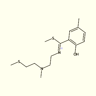 CSCCN(C)CC/N=C(\SC)c1cc(C)ccc1O